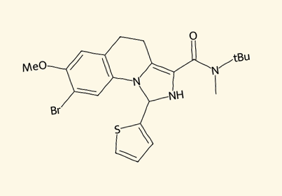 COc1cc2c(cc1Br)N1C(=C(C(=O)N(C)C(C)(C)C)NC1c1cccs1)CC2